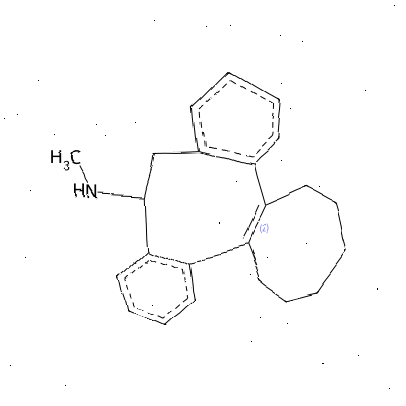 CNC1Cc2ccccc2/C2=C(/CCCCCC2)c2ccccc21